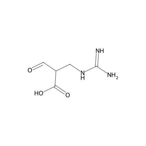 N=C(N)NCC(C=O)C(=O)O